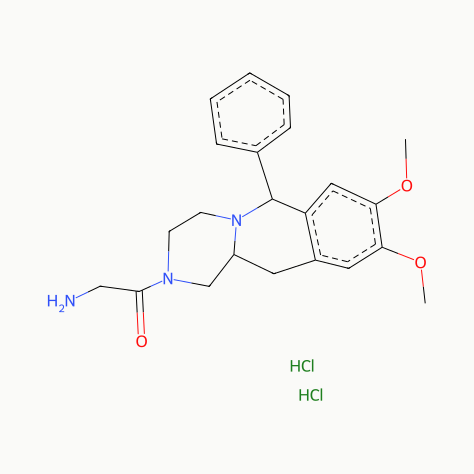 COc1cc2c(cc1OC)C(c1ccccc1)N1CCN(C(=O)CN)CC1C2.Cl.Cl